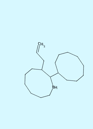 C=CCC1CCCCCCBC1C1CCCCCCCC1